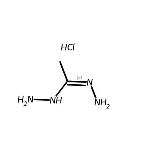 C/C(=N/N)NN.Cl